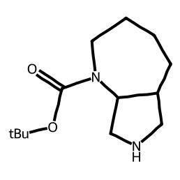 CC(C)(C)OC(=O)N1CCCCC2CNCC21